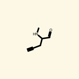 C#CCC([C]=O)NC